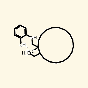 CCC1CCCCCCCCCCCCCCCC1(C)CNc1ccccc1C